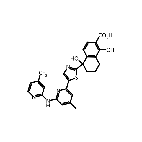 Cc1cc(Nc2cc(C(F)(F)F)ccn2)nc(-c2cnc(C3(O)CCCc4c3ccc(C(=O)O)c4O)s2)c1